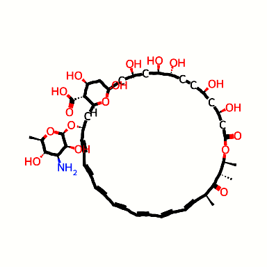 C[C@@H]1OC(=O)C[C@H](O)C[C@H](O)CC[C@@H](O)[C@H](O)C[C@H](O)C[C@]2(O)C[C@H](O)[C@@H](C(=O)O)[C@H](C[C@@H](O[C@@H]3O[C@H](C)[C@@H](O)[C@H](N)[C@@H]3O)/C=C/C=C/C=C/C=C/C=C/C=C/C=C/[C@H](C)C(=O)[C@H]1C)O2